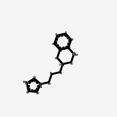 c1ccc2c(c1)CN(CCCn1ccnc1)CO2